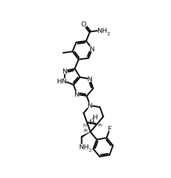 Cc1cc(C(N)=O)ncc1-c1n[nH]c2nc(N3CC[C@@H]4[C@H](C3)[C@@]4(CN)c3ccccc3F)cnc12